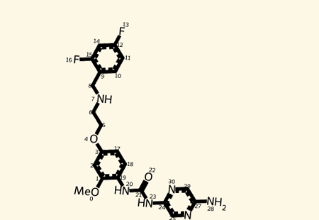 COc1cc(OCCNCc2ccc(F)cc2F)ccc1NC(=O)Nc1cnc(N)cn1